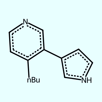 CCCCc1ccncc1-c1cc[nH]c1